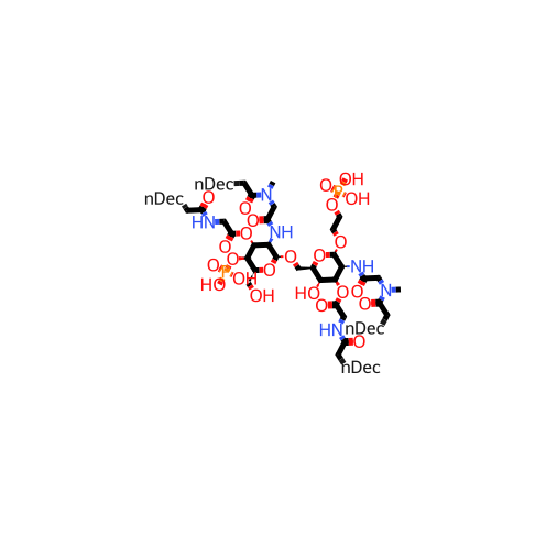 CCCCCCCCCCCC(=O)NCC(=O)O[C@@H]1[C@@H](NC(=O)CN(C)C(=O)CCCCCCCCCCC)[C@H](OC[C@H]2O[C@H](OCCOP(=O)(O)O)[C@H](NC(=O)CN(C)C(=O)CCCCCCCCCCC)[C@@H](OC(=O)CNC(=O)CCCCCCCCCCC)[C@@H]2O)O[C@H](CO)[C@H]1OP(=O)(O)O